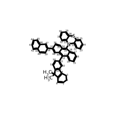 CC1(C)C2=C(CCC=C2)c2cc(-c3c4ccccc4c(N4c5ccccc5Sc5ccccc54)c4ccc(-c5ccc6ccccc6c5)cc34)ccc21